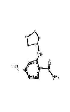 Cl.NC(=O)c1ccccc1NC1CCCC1